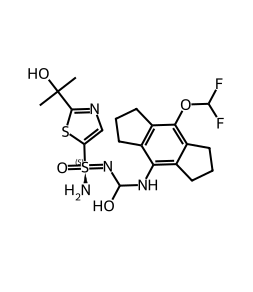 CC(C)(O)c1ncc([S@@](N)(=O)=NC(O)Nc2c3c(c(OC(F)F)c4c2CCC4)CCC3)s1